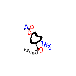 COC(=O)[C@H]1CC[C@@H](OC(=O)N(C)C)/C=C/C[C@@H]1N